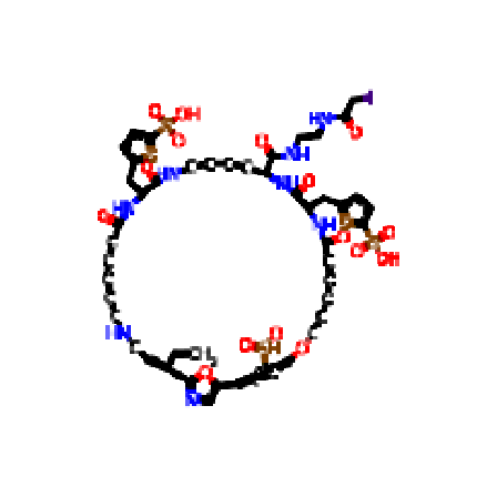 C=C/C1=C\CNCCCCCC(=O)NC(Cc2ccc(S(=O)(=O)O)s2)C(=O)NCCCCC(C(=O)NCCNC(=O)CI)NC(=O)C(Cc2ccc(S(=O)(=O)O)s2)NC(=O)CCCCCOc2ccc(cc2[SH](=O)=O)-c2cnc1o2